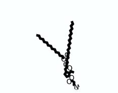 CCCCCCCCCCCCCCOCC(COC(=O)CC1CCC(OC(=O)CCN(C)C)C1CC)OCCCCCCCCCCCCCC